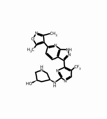 Cc1noc(C)c1-c1ccc2c(-c3nc(N[C@@H]4CNC[C@H](O)C4)ncc3C(F)(F)F)n[nH]c2n1